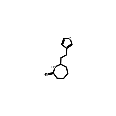 N=C1CCCCC(CCc2ccoc2)N1